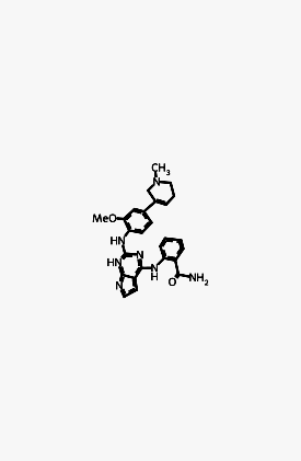 COc1cc(C2=CCCN(C)C2)ccc1Nc1nc(Nc2ccccc2C(N)=O)c2ccnc-2[nH]1